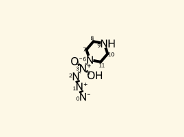 [N-]=[N+]=N[N+]([O-])(O)N1CCNCC1